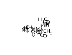 Cc1cccnc1CNCCC[C@H](NC(=O)c1ccc(CNCc2nccn2C)c2ccccc12)C(=O)N[C@@H](C)c1cccc2ccccc12